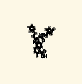 C[C@H]1CCc2c(ccc3c2nc(CCn2cccn2)n3CC(=O)NCc2ccn(C)n2)N1C(=O)O